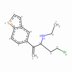 C=C(c1ccc2sccc2c1)C(CCBr)NCC